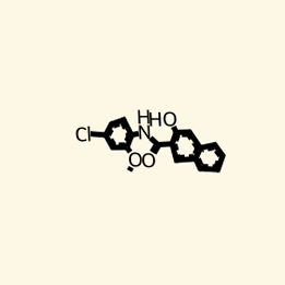 COc1cc(Cl)ccc1NC(=O)c1cc2ccccc2cc1O